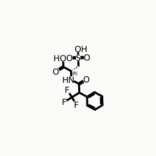 O=C(N[C@@H](CS(=O)(=O)O)C(=O)O)C(c1ccccc1)C(F)(F)F